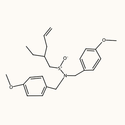 C=CCC(CC)C[S+]([O-])N(Cc1ccc(OC)cc1)Cc1ccc(OC)cc1